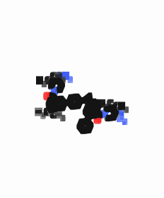 CC1(C)C2CC3(C(=O)N4CC[C@H](N)C(C)(C)C4)CC1CC(c1ccc(C4CC45C4CC6(C(=O)N7CC[C@H](N)C(C)(C)C7)CC5CC(c5ccccc5)(C4)C6)cc1)(C2)C3